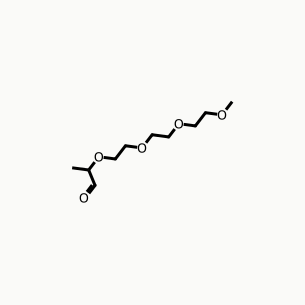 COCCOCCOCCOC(C)C=O